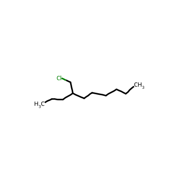 CCCCCCC(CCl)CCC